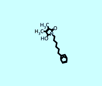 CC1=C(C)C(O)N(CCCCCCC2CC3C=CC2C3)C1=O